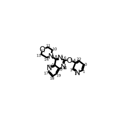 c1cncc(Oc2nc(N3CCOCC3)c3ncccc3n2)c1